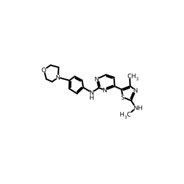 CNc1nc(C)c(-c2ccnc(Nc3ccc(N4CCOCC4)cc3)n2)s1